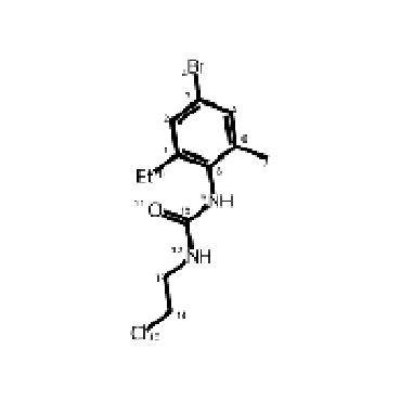 CCc1cc(Br)cc(C)c1NC(=O)NCCCl